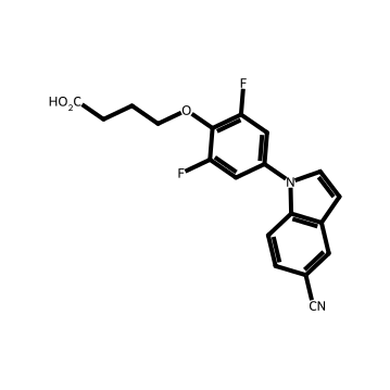 N#Cc1ccc2c(ccn2-c2cc(F)c(OCCCC(=O)O)c(F)c2)c1